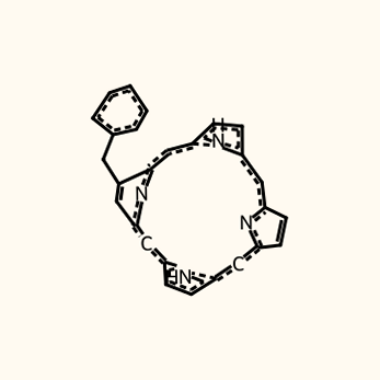 C1=Cc2cc3ccc(cc4nc(cc5ccc(cc1n2)[nH]5)C=C4Cc1ccccc1)[nH]3